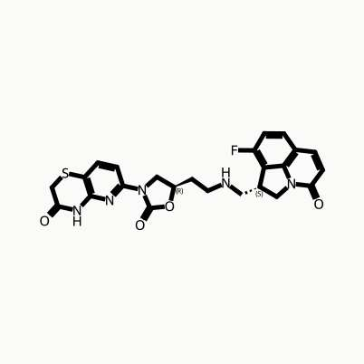 O=C1CSc2ccc(N3C[C@@H](CCNC[C@H]4Cn5c(=O)ccc6ccc(F)c4c65)OC3=O)nc2N1